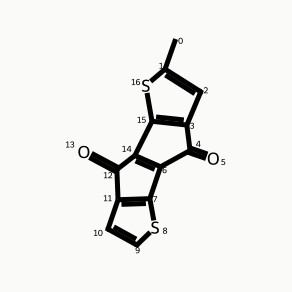 Cc1cc2c(=O)c3c4sccc4c(=O)c=3c2s1